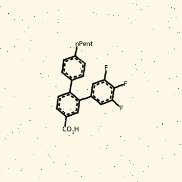 CCCCCc1ccc(-c2ccc(C(=O)O)cc2-c2cc(F)c(F)c(F)c2)cc1